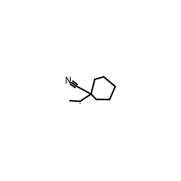 C[CH]C1(C#N)CCCCC1